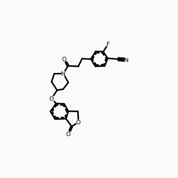 N#Cc1ccc(CCC(=O)N2CCC(Oc3ccc4c(c3)COC4=O)CC2)cc1F